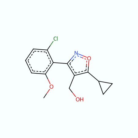 COc1cccc(Cl)c1-c1noc(C2CC2)c1CO